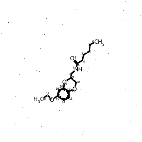 CCCCCC(=O)NCC1COc2ccc(OCC)cc2O1